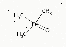 [CH3][Fe]([CH3])([CH3])=[O]